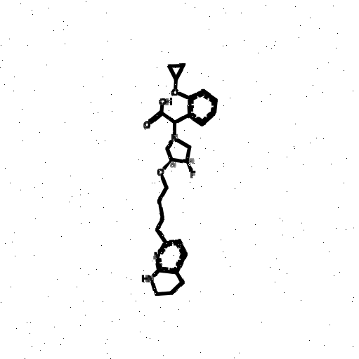 O=C(O)C(c1ccccc1OC1CC1)N1C[C@@H](F)[C@@H](OCCCCc2ccc3c(n2)NCCC3)C1